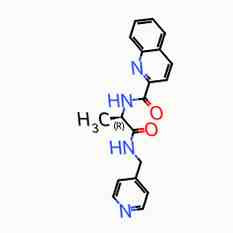 C[C@@H](NC(=O)c1ccc2ccccc2n1)C(=O)NCc1ccncc1